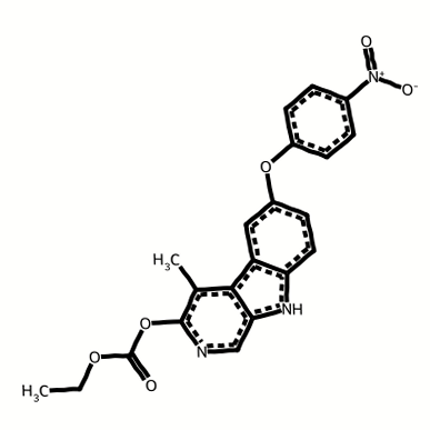 CCOC(=O)Oc1ncc2[nH]c3ccc(Oc4ccc([N+](=O)[O-])cc4)cc3c2c1C